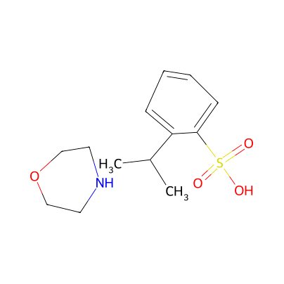 C1COCCN1.CC(C)c1ccccc1S(=O)(=O)O